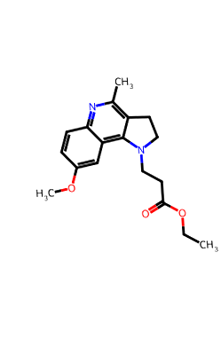 CCOC(=O)CCN1CCc2c(C)nc3ccc(OC)cc3c21